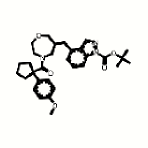 COc1ccc(C2(C(=O)N3CCOCC(Cc4cccc5c4cnn5C(=O)OC(C)(C)C)C3)CCCC2)cc1